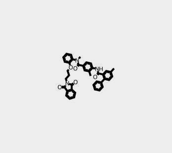 Cc1ccc(-c2ccccc2)c(C(=O)Nc2ccc(C(=O)N(C)c3ccccc3OCCCN3C(=O)c4ccccc4C3=O)cc2C)c1